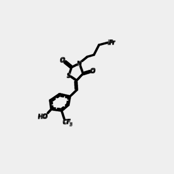 CC(C)CCCN1C(=O)S/C(=C\c2ccc(O)c(C(F)(F)F)c2)C1=O